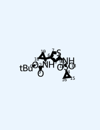 CC(C)(C)OC(=O)NC1(c2csc(NS(=O)(=O)C3CC3)c2)CC1